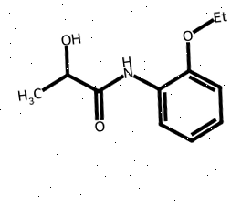 CCOc1ccccc1NC(=O)C(C)O